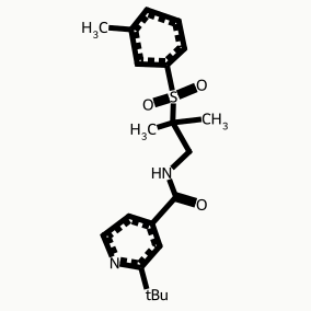 Cc1cccc(S(=O)(=O)C(C)(C)CNC(=O)c2ccnc(C(C)(C)C)c2)c1